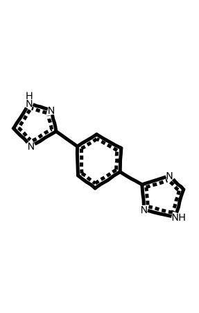 c1nc(-c2ccc(-c3nc[nH]n3)cc2)n[nH]1